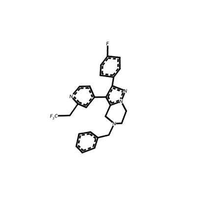 Fc1ccc(-c2nn3c(c2-c2ccnc(CC(F)(F)F)c2)CN(Cc2ccccc2)CC3)cc1